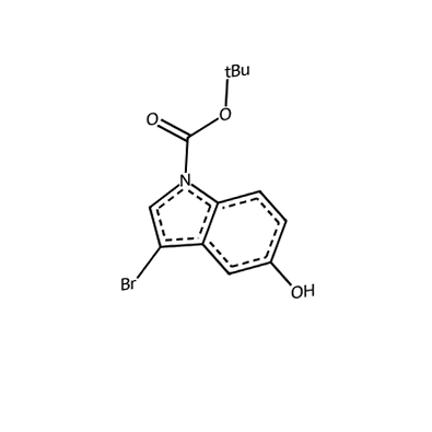 CC(C)(C)OC(=O)n1cc(Br)c2cc(O)ccc21